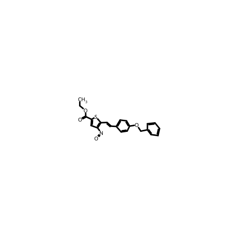 CCOC(=O)c1cc(N=O)c(/C=C/c2ccc(OCc3ccccc3)cc2)s1